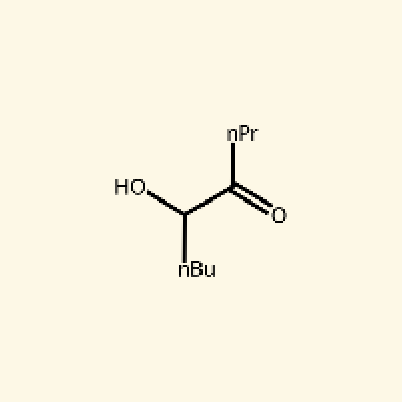 CCCCC(O)C(=O)CCC